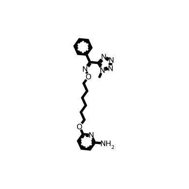 Cn1nnnc1C(=NOCCCCCCOc1cccc(N)n1)c1ccccc1